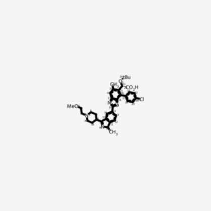 COCCN1CCC(C2=NC(C)c3ccc(-c4nc5cc(C)c([C@H](OC(C)(C)C)C(=O)O)c(-c6ccc(Cl)cc6)c5s4)cc32)CC1